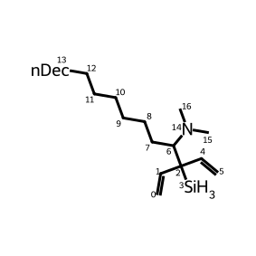 C=CC([SiH3])(C=C)C(CCCCCCCCCCCCCCCC)N(C)C